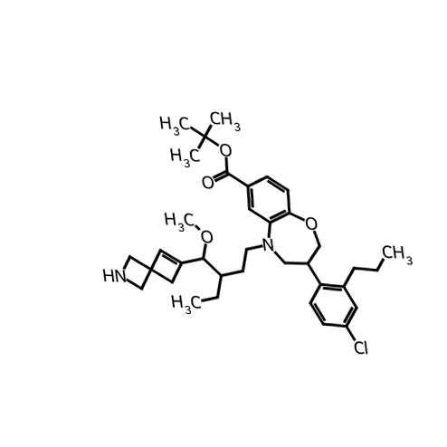 CCCc1cc(Cl)ccc1C1COc2ccc(C(=O)OC(C)(C)C)cc2N(CCC(CC)C(OC)C2=CC3(CNC3)C2)C1